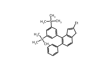 CCC1=Cc2c(ccc(-c3ccccc3)c2-c2cc([Si](C)(C)C)cc([Si](C)(C)C)c2)[CH]1